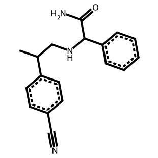 CC(CNC(C(N)=O)c1ccccc1)c1ccc(C#N)cc1